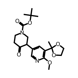 COc1ncc(C2CN(C(=O)OC(C)(C)C)CCC2=O)cc1C1(C)OCCO1